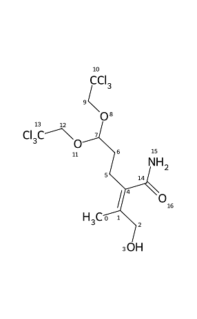 C/C(CO)=C(\CCC(OCC(Cl)(Cl)Cl)OCC(Cl)(Cl)Cl)C(N)=O